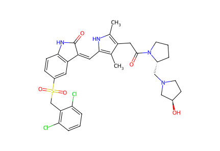 Cc1[nH]c(/C=C2\C(=O)Nc3ccc(S(=O)(=O)Cc4c(Cl)cccc4Cl)cc32)c(C)c1CC(=O)N1CCC[C@@H]1CN1CC[C@@H](O)C1